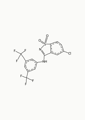 O=S1(=O)N=C(Nc2cc(C(F)(F)F)cc(C(F)(F)F)c2)c2cc(Cl)ccc21